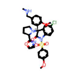 CNCc1ccc(OC)c([C@]2(N3CCCC3c3ncco3)C(=O)N(S(=O)(=O)c3ccc(OC)cc3)c3ccc(Cl)cc32)c1